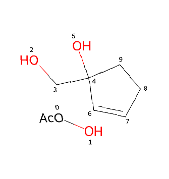 CC(=O)OO.OCC1(O)C=CCC1